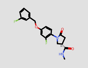 CNC(=O)[C@H]1CC(=O)N(c2ccc(OCc3cccc(F)c3)cc2F)C1